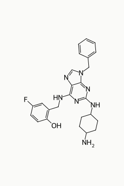 NC1CCC(Nc2nc(NCc3cc(F)ccc3O)c3ncn(Cc4ccccc4)c3n2)CC1